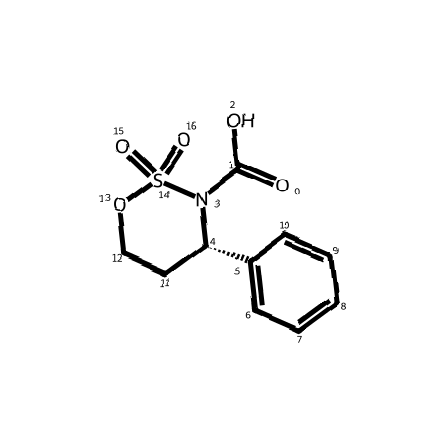 O=C(O)N1[C@H](c2ccccc2)CCOS1(=O)=O